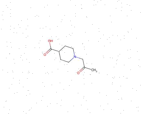 CC(=O)CN1CCC(C(=O)O)CC1